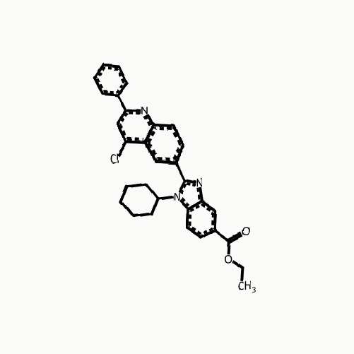 CCOC(=O)c1ccc2c(c1)nc(-c1ccc3nc(-c4ccccc4)cc(Cl)c3c1)n2C1CCCCC1